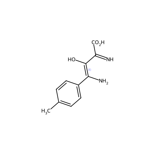 Cc1ccc(/C(N)=C(\O)C(=N)C(=O)O)cc1